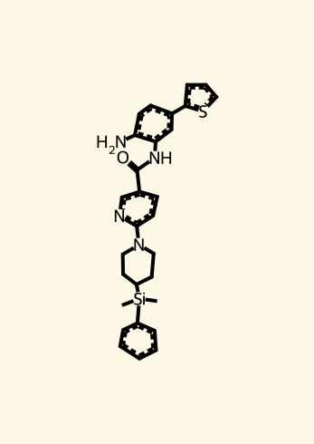 C[Si](C)(c1ccccc1)C1CCN(c2ccc(C(=O)Nc3cc(-c4cccs4)ccc3N)cn2)CC1